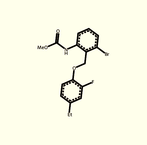 CCc1ccc(OCc2c(Br)cccc2NC(=O)OC)c(F)c1